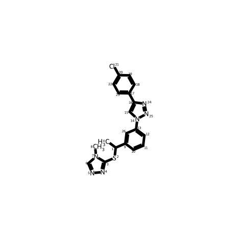 CC(Sc1nncn1C)c1cccc(-n2cc(-c3ccc(Cl)cc3)nn2)c1